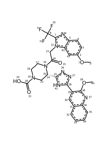 COc1ccc2nc(C(F)(F)F)n(CC(=O)N3CCN(C(=O)O)C[C@H]3c3nnc(-c4cc5ccccc5nc4OC)[nH]3)c2c1